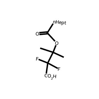 CCCCCCCC(=O)OC(C)(C)C(F)(F)C(=O)O